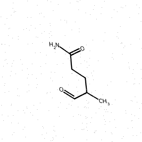 CC(C=O)CCC(N)=O